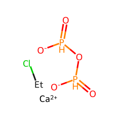 CCCl.O=[PH]([O-])O[PH](=O)[O-].[Ca+2]